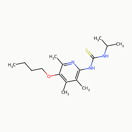 CCCCOc1c(C)nc(NC(=S)NC(C)C)c(C)c1C